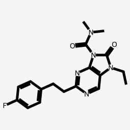 CCn1c(=O)n(C(=O)N(C)C)c2nc(CCc3ccc(F)cc3)ncc21